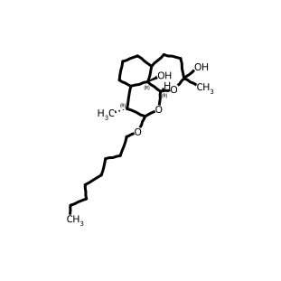 CCCCCCCCOC1O[C@@H]2OC(C)(O)CCC3CCCC([C@H]1C)[C@]32O